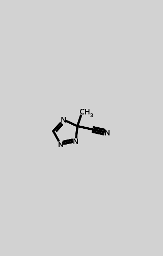 CC1(C#N)N=CN=N1